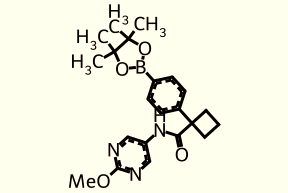 COc1ncc(NC(=O)C2(c3ccc(B4OC(C)(C)C(C)(C)O4)cc3)CCC2)cn1